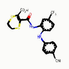 N#Cc1ccc(Nc2ccc(C(F)(F)F)cc2NC(=O)C2=C(C(=O)O)SCCS2)cc1